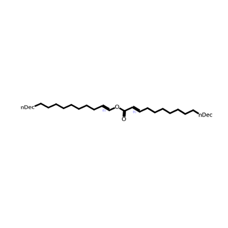 CCCCCCCCCCCCCCCCC/C=C/C(=O)O/C=C/CCCCCCCCCCCCCCCCCC